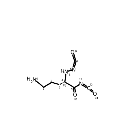 NCCC[C@H](NN=C=O)C(=O)N=C=O